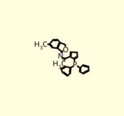 Cc1ccc2c(c1)/C(=N/[C@H](C)C1=CCC=C1P(c1ccccc1)c1ccccc1)OC2